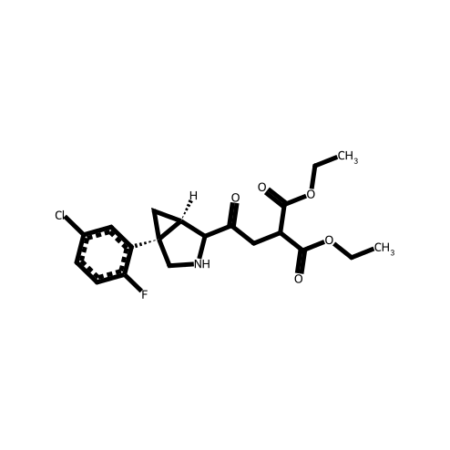 CCOC(=O)C(CC(=O)C1NC[C@@]2(c3cc(Cl)ccc3F)C[C@@H]12)C(=O)OCC